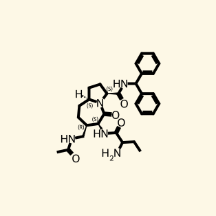 CCC(N)C(=O)N[C@@H]1C(=O)N2[C@@H](CC[C@@H]1CNC(C)=O)CC[C@H]2C(=O)NC(c1ccccc1)c1ccccc1